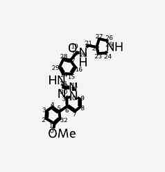 COc1cccc(-c2cccn3nc(Nc4ccc(C(=O)NCC5CCNCC5)cc4)nc23)c1